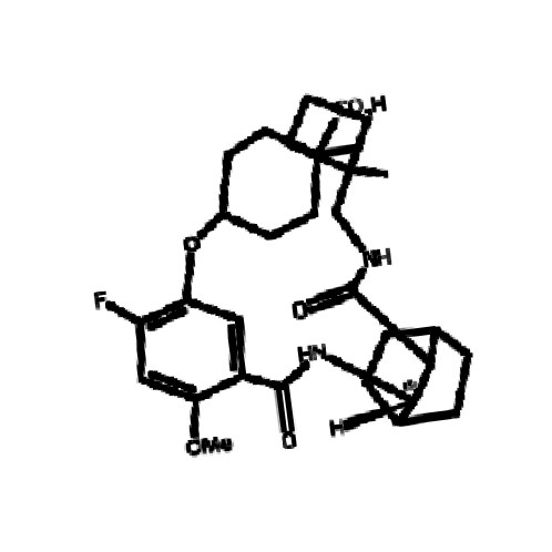 COc1cc(F)c(OC2CCC(C)(C(=O)O)CC2)cc1C(=O)N[C@H]1C2CCC(CC2)C1C(=O)NCC1(C)CCC1